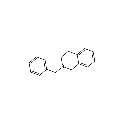 [c]1ccc2c(c1)CCN(Cc1ccccc1)C2